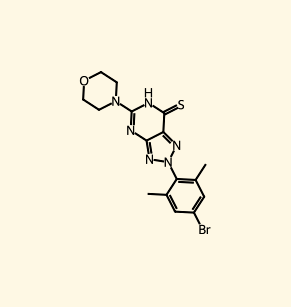 Cc1cc(Br)cc(C)c1-n1nc2nc(N3CCOCC3)[nH]c(=S)c2n1